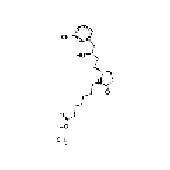 CCOC(=O)CCCCCCN1C(=O)CC[C@@H]1CC[C@@H](O)Cc1cccc(Cl)c1